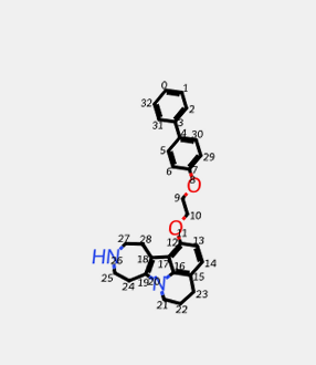 c1ccc(-c2ccc(OCCOc3ccc4c5c3c3c(n5CCC4)CCNCC3)cc2)cc1